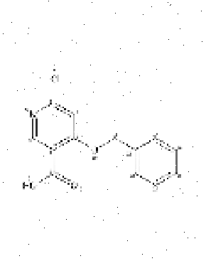 O=C(O)c1cnc(Cl)cc1OCc1ccccc1